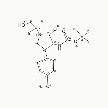 COc1ccc(C2CN(C(C)(C)CO)C(=O)C2NC(=O)OC(C)(C)C)cc1